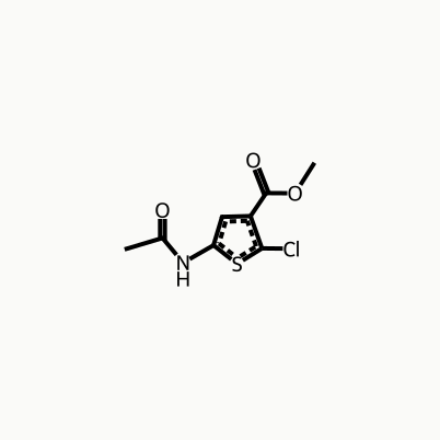 COC(=O)c1cc(NC(C)=O)sc1Cl